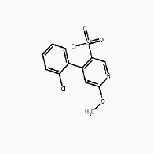 COc1cc(-c2ccccc2Cl)c(S(=O)(=O)Cl)cn1